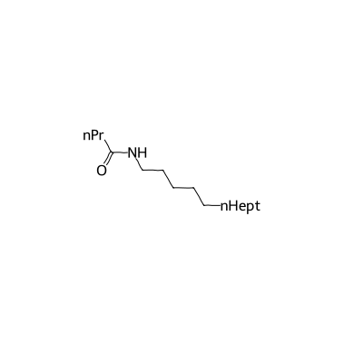 CCCCCCCCCCCCNC(=O)CCC